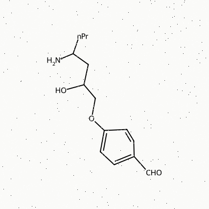 CCCC(N)CC(O)COc1ccc(C=O)cc1